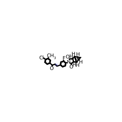 Cc1cc(C(=O)/C=C/c2ccc(N3C(=O)[C@@H]4[C@@H]5C=C[C@@H]([C@H]6C[C@@H]56)[C@@H]4C3=O)c(F)c2)ccc1Cl